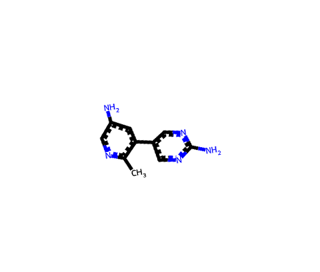 Cc1ncc(N)cc1-c1cnc(N)nc1